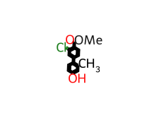 COC(=O)c1ccc(-c2ccc(O)cc2C)cc1Cl